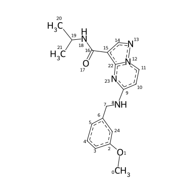 COc1cccc(CNc2ccn3ncc(C(=O)NC(C)C)c3n2)c1